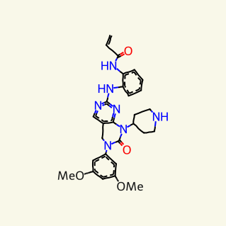 C=CC(=O)Nc1ccccc1Nc1ncc2c(n1)N(C1CCNCC1)C(=O)N(c1cc(OC)cc(OC)c1)C2